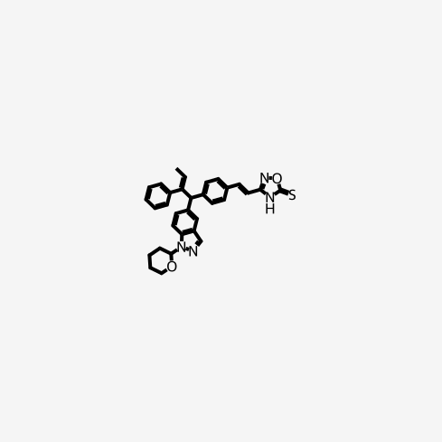 C/C=C(\c1ccccc1)C(c1ccc(C=Cc2noc(=S)[nH]2)cc1)c1ccc2c(cnn2C2CCCCO2)c1